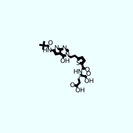 CC(C)(C)C(=O)Nc1cc2c(O)n(CCc3ccc(C(=O)N[C@@H](CCC(=O)O)C(=O)O)s3)cnc-2n1